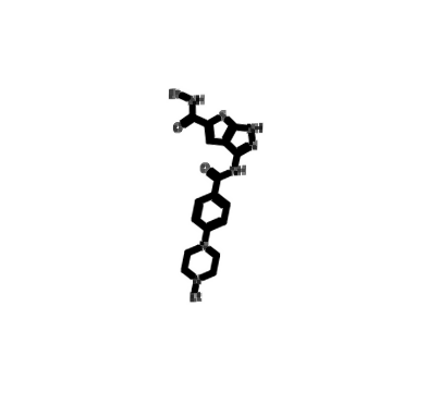 CCNC(=O)c1cc2c(NC(=O)c3ccc(N4CCN(CC)CC4)cc3)n[nH]c2s1